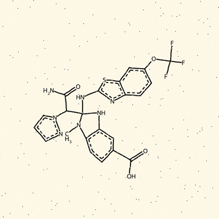 CN1c2ccc(C(=O)O)cc2NC1(Nc1nc2ccc(OC(F)(F)F)cc2s1)C(C(N)=O)n1cccn1